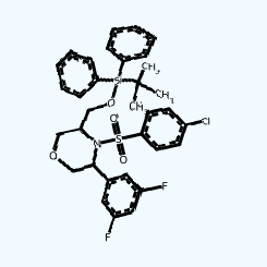 CC(C)(C)[Si](OCC1COCC(c2cc(F)cc(F)c2)N1S(=O)(=O)c1ccc(Cl)cc1)(c1ccccc1)c1ccccc1